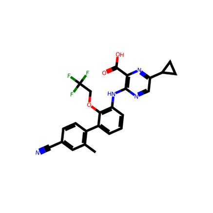 Cc1cc(C#N)ccc1-c1cccc(Nc2ncc(C3CC3)nc2C(=O)O)c1OCC(F)(F)F